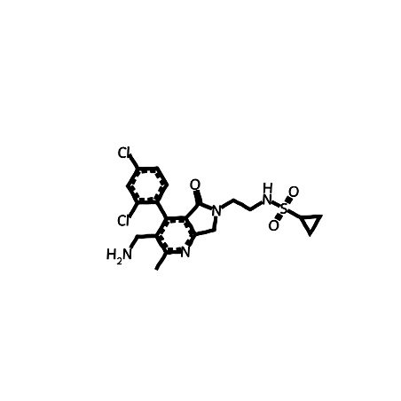 Cc1nc2c(c(-c3ccc(Cl)cc3Cl)c1CN)C(=O)N(CCNS(=O)(=O)C1CC1)C2